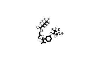 CC(C)C1(C2CCCC(OC(=O)C(F)(F)S(=O)(=O)O)C2)OCC(COC(=O)C(F)(F)C(F)(F)C(F)(F)F)O1